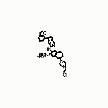 COc1cc2c(cc1Nc1ncc3ccc(-c4cccc5c4OCC5)n3n1)CCCC(N1CCN(CCO)CC1)C2.Cl.Cl